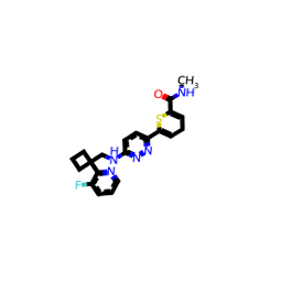 CNC(=O)C1=CCC=C(c2ccc(NCC3(c4ncccc4F)CCC3)nn2)S1